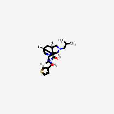 CC(C)C[C@@H]1[C@@H]2C=N[C@@]3(C(=O)NCc4ccsc4)[C@@H](C2)CN(CC(C)C)[C@@H]13